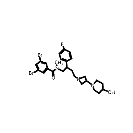 CN(CC(CCN1CC(N2CCC(O)CC2)C1)c1ccc(F)cc1)C(=O)c1cc(Br)cc(Br)c1